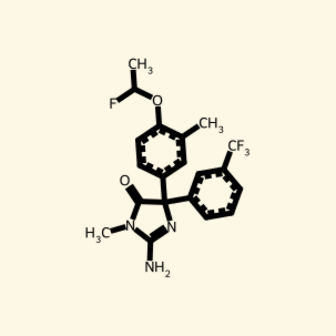 Cc1cc(C2(c3cccc(C(F)(F)F)c3)N=C(N)N(C)C2=O)ccc1OC(C)F